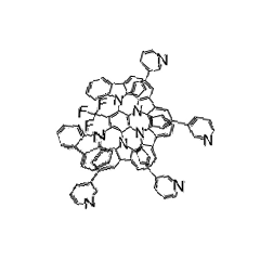 FC(F)(F)c1c(-n2c3ccccc3c3ccccc32)c(-n2c3ccc(-c4cccnc4)cc3c3cc(-c4cccnc4)ccc32)c(-n2c3ccccc3c3ccccc32)c(-n2c3ccc(-c4cccnc4)cc3c3cc(-c4cccnc4)ccc32)c1-n1c2ccccc2c2ccccc21